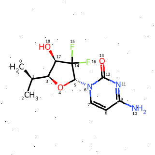 [CH2][C@H](C)[C@@H]1O[C@@H](n2ccc(N)nc2=O)C(F)(F)[C@@H]1O